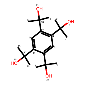 CC(C)(O)c1cc(C(C)(C)O)c(C(C)(C)O)cc1C(C)(C)O